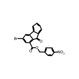 O=C(OCc1ccc([N+](=O)[O-])cc1)c1cc(Br)cc2c1C(=O)c1ccccc1-2